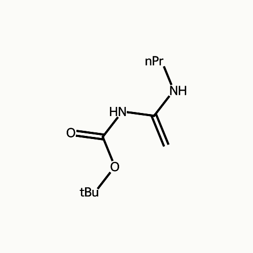 C=C(NCCC)NC(=O)OC(C)(C)C